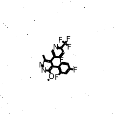 COc1nnc(C)c(-c2ccc(C(F)(F)F)nc2)c1-c1c(F)cc(F)cc1F